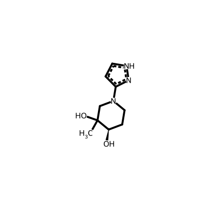 CC1(O)CN(c2cc[nH]n2)CC[C@H]1O